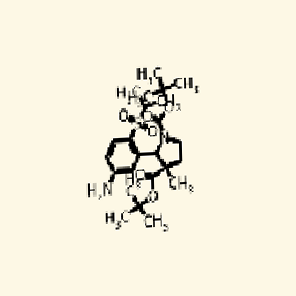 CC(C)S(=O)(=O)c1ccc(N)cc1C1N(C(=O)OC(C)(C)C)CCC1(C)C(=O)OC(C)(C)C